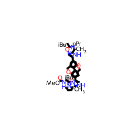 CCCN(C(=O)C[C@@H](C)CC)[C@@H](C)c1ncc(-c2cc3c4c(c2)OCc2cc(C5=CNC(C)([C@@H]6CCCN6C(=O)C(NC(=O)OC)[C@@H](C)CC)N5)cc(c2-4)OC3)[nH]1